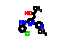 CC[C@H](O)Cc1cc(Nc2cccc(Cl)c2)nn1-c1ccnc(C)c1